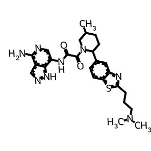 CC1CCC(c2ccc3sc(CCCN(C)C)nc3c2)N(C(=O)C(=O)Nc2cnc(N)c3cn[nH]c23)C1